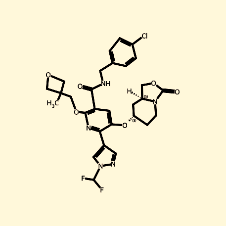 CC1(COc2nc(-c3cnn(C(F)F)c3)c(O[C@H]3CCN4C(=O)OC[C@@H]4C3)cc2C(=O)NCc2ccc(Cl)cc2)COC1